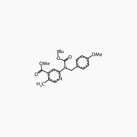 COC(=O)c1cc(N(Cc2ccc(OC)cc2)C(=O)OC(C)(C)C)ncc1C